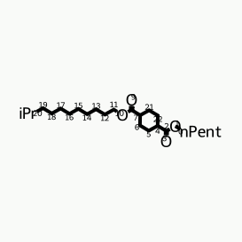 CCCCCOC(=O)C1CCC(C(=O)OCCCCCCCCCC(C)C)CC1